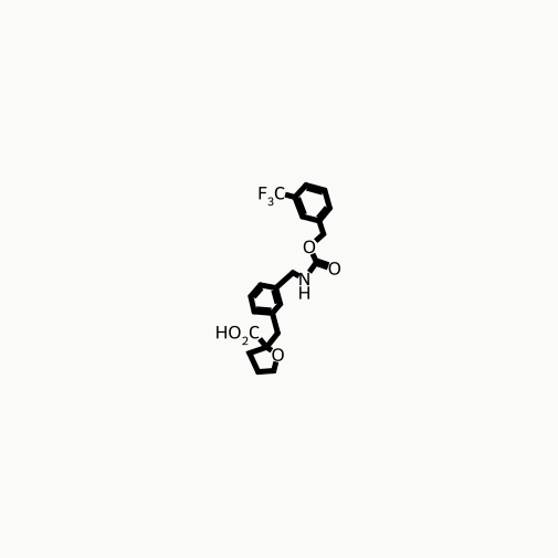 O=C(NCc1cccc(CC2(C(=O)O)CCCO2)c1)OCc1cccc(C(F)(F)F)c1